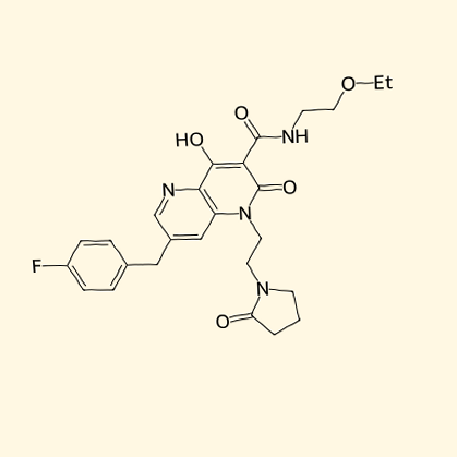 CCOCCNC(=O)c1c(O)c2ncc(Cc3ccc(F)cc3)cc2n(CCN2CCCC2=O)c1=O